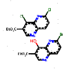 CCOC(=O)c1cnc2ccc(Br)nc2c1O.CCOC(=O)c1cnc2ccc(Cl)nc2c1Cl